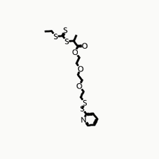 CCSC(=S)SC(C)C(=O)OCCOCCOCCSSc1ccccn1